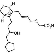 O=C(O)CSC/C=C/C[C@H]1[C@@H](CCC(O)CC2CCCC2)[C@H]2CC[C@@H]1O2